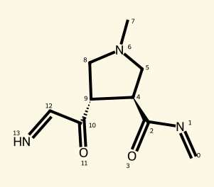 C=NC(=O)[C@@H]1CN(C)C[C@H]1C(=O)C=N